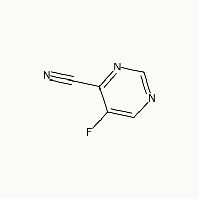 N#Cc1ncncc1F